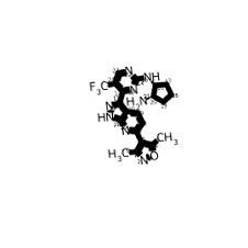 Cc1noc(C)c1-c1ccc2c(-c3nc(N[C@H]4CCC[C@@H]4N)ncc3C(F)(F)F)n[nH]c2n1